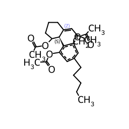 C=C(C)/C=C1/CCCC(OC(C)=O)[C@@H]1c1c(OC(C)=O)cc(CCCCC)cc1OC(C)=O